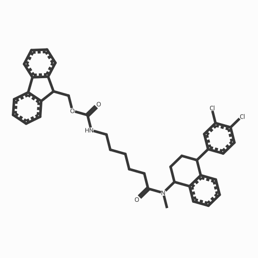 CN(C(=O)CCCCCNC(=O)OCC1c2ccccc2-c2ccccc21)C1CCC(c2ccc(Cl)c(Cl)c2)c2ccccc21